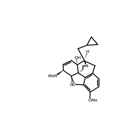 CN[C@H]1C=C[C@@]2(O)[C@H]3Cc4ccc(OC)c5c4[C@@]2(CCN3CC2CC2)[C@H]1O5